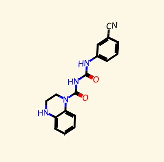 N#Cc1cccc(NC(=O)NC(=O)N2CCNc3c[c]ccc32)c1